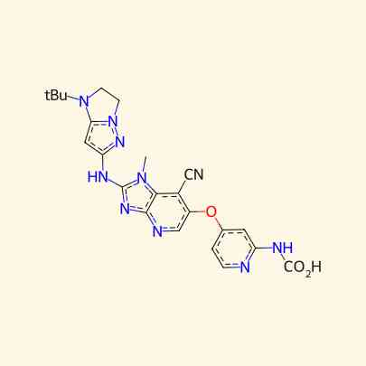 Cn1c(Nc2cc3n(n2)CCN3C(C)(C)C)nc2ncc(Oc3ccnc(NC(=O)O)c3)c(C#N)c21